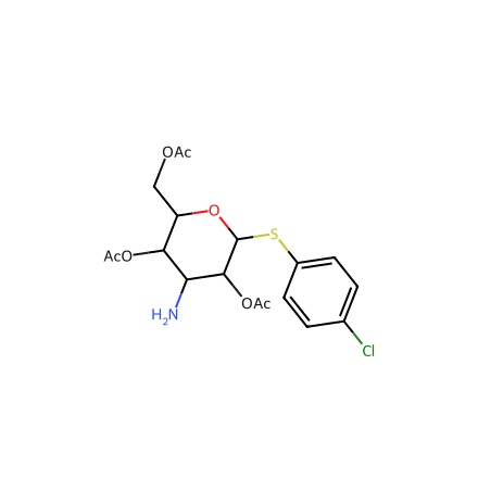 CC(=O)OCC1OC(Sc2ccc(Cl)cc2)C(OC(C)=O)C(N)C1OC(C)=O